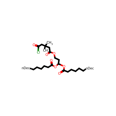 CCCCCCCCCCCCCCCC(=O)OC(CCOC(=O)CC(C)(C)CC(=O)Cl)OC(=O)CCCCCCCCCCCCCCC